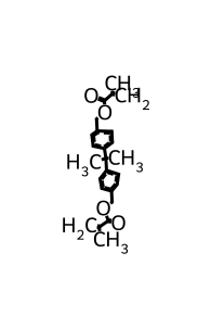 C=C(C)C(=O)OCc1ccc(C(C)(C)c2ccc(COC(=O)C(=C)C)cc2)cc1